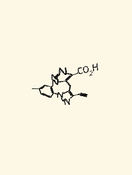 C#Cc1ncn2c1Cc1c(C(=O)O)nnn1-c1cc(C)ccc1-2